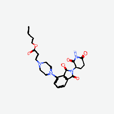 CCCCOC(=O)CCN1CCN(c2cccc3c2C(=O)N(C2CCC(=O)NC2=O)C3=O)CC1